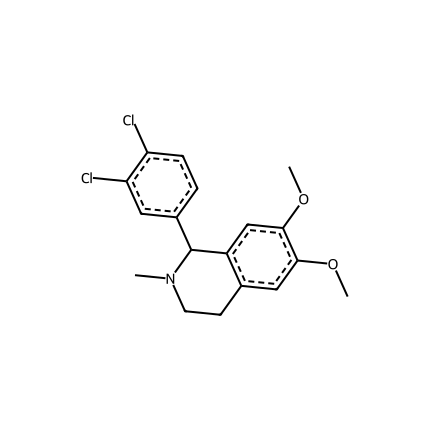 COc1cc2c(cc1OC)C(c1ccc(Cl)c(Cl)c1)N(C)CC2